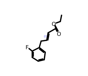 CCOC(=O)/C=C/Cc1ccccc1F